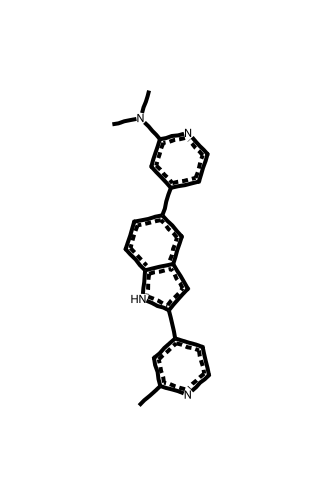 Cc1cc(-c2cc3cc(-c4ccnc(N(C)C)c4)ccc3[nH]2)ccn1